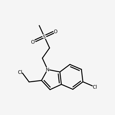 CS(=O)(=O)CCn1c(CCl)cc2cc(Cl)ccc21